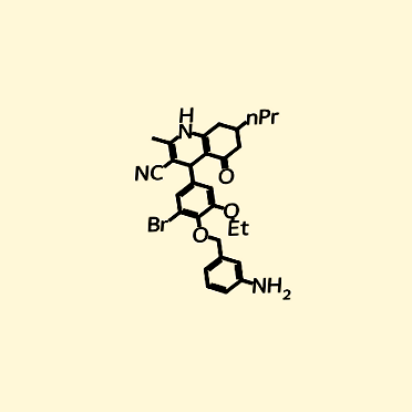 CCCC1CC(=O)C2=C(C1)NC(C)=C(C#N)C2c1cc(Br)c(OCc2cccc(N)c2)c(OCC)c1